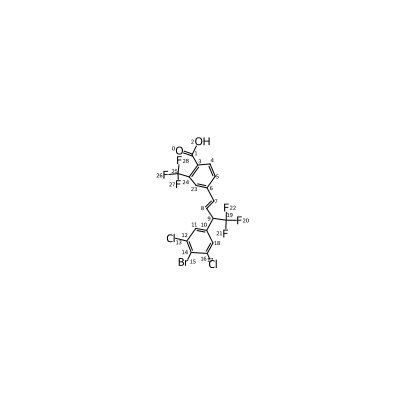 O=C(O)c1ccc(C=CC(c2cc(Cl)c(Br)c(Cl)c2)C(F)(F)F)cc1C(F)(F)F